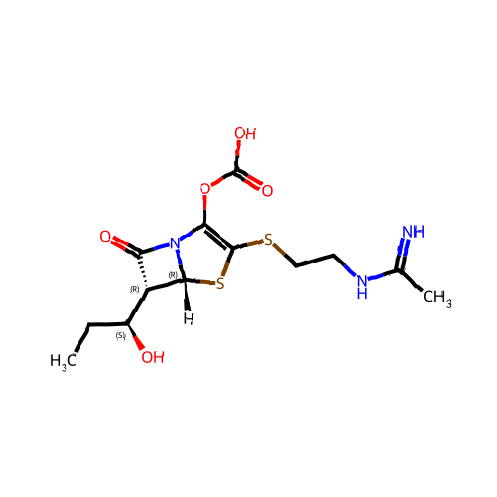 CC[C@H](O)[C@@H]1C(=O)N2C(OC(=O)O)=C(SCCNC(C)=N)S[C@H]12